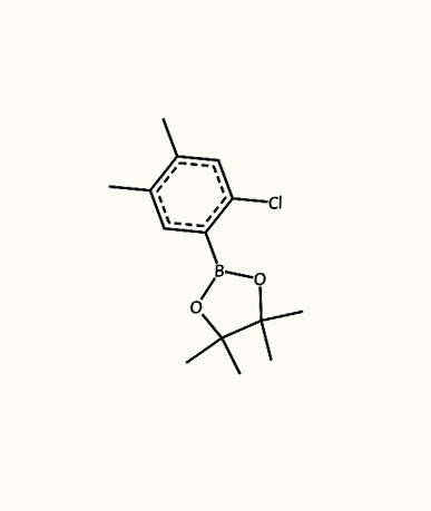 Cc1cc(Cl)c(B2OC(C)(C)C(C)(C)O2)cc1C